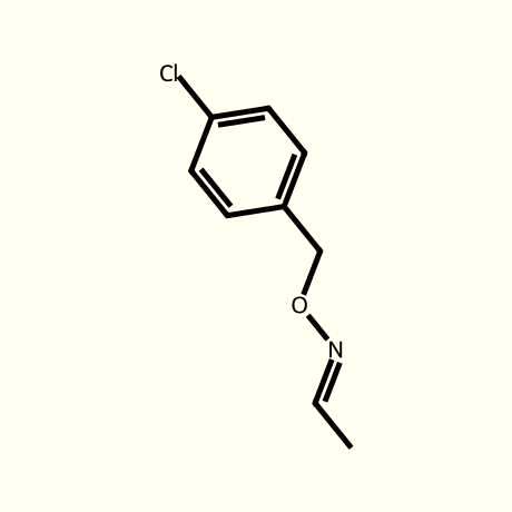 CC=NOCc1ccc(Cl)cc1